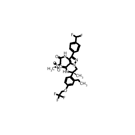 CCc1cc(OCC(F)(F)F)ccc1[C@@]1(C)Cn2nc(-c3ccc(C(F)F)cc3)c(NC(=O)CS(C)(=O)=O)c2C(=O)N1